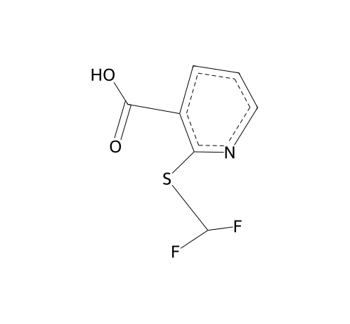 O=C(O)c1cccnc1SC(F)F